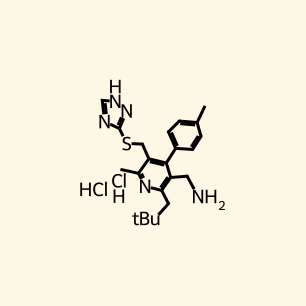 Cc1ccc(-c2c(CSc3nc[nH]n3)c(C)nc(CC(C)(C)C)c2CN)cc1.Cl.Cl